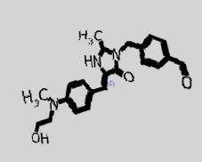 CC1N/C(=C\c2ccc(N(C)CCO)cc2)C(=O)N1Cc1ccc(C=O)cc1